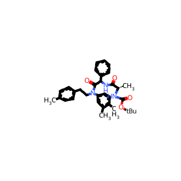 Cc1ccc(CCN(C(=O)C(NC(=O)[C@H](C)NC(=O)OC(C)(C)C)c2ccccc2)c2ccc(C)c(C)c2)cc1